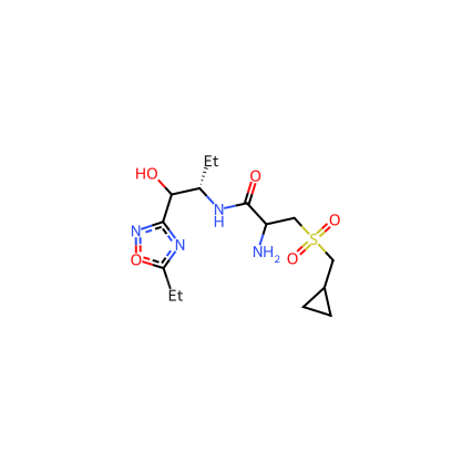 CCc1nc(C(O)[C@H](CC)NC(=O)C(N)CS(=O)(=O)CC2CC2)no1